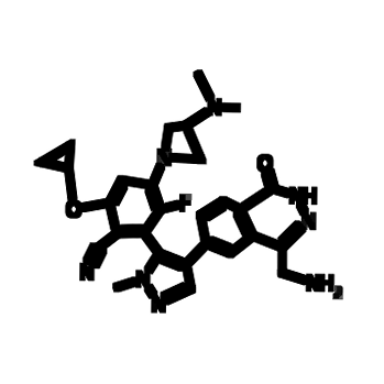 CN(C)C1CN(c2cc(OC3CC3)c(C#N)c(-c3c(-c4ccc5c(=O)[nH]nc(CN)c5c4)cnn3C)c2F)C1